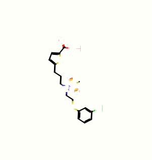 CS(=O)(=O)N(CCCc1ccc(C(=O)O)s1)CCSc1cccc(Cl)c1